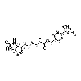 CN(C)c1ccc(COC(=O)NCCCCC2SCC3NC(=O)NC32)cc1